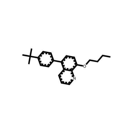 CCCCOc1ccc(-c2ccc(C(C)(C)C)cc2)c2cccnc12